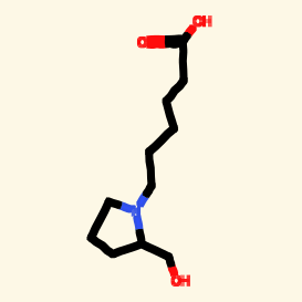 O=C(O)CCCCCN1CCCC1CO